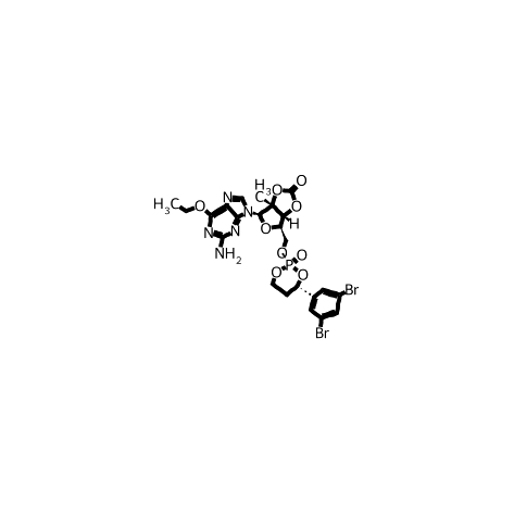 CCOc1nc(N)nc2c1ncn2[C@@H]1O[C@H](CO[P@@]2(=O)OCC[C@@H](c3cc(Br)cc(Br)c3)O2)[C@H]2OC(=O)O[C@]21C